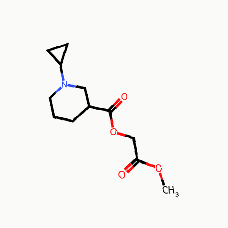 COC(=O)COC(=O)C1CCCN(C2CC2)C1